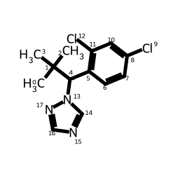 CC(C)(C)[C](c1ccc(Cl)cc1Cl)n1cncn1